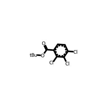 CC(C)(C)OC(=O)c1ccc(Cl)c(Cl)c1Cl